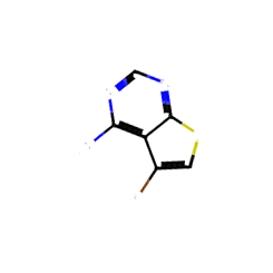 Nc1ncnc2scc(Br)c12